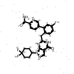 NC(=O)c1ccc(-c2cc(F)ccc2Cc2nc3c(cnn3C3CCC(F)(F)CC3)c(=O)[nH]2)cn1